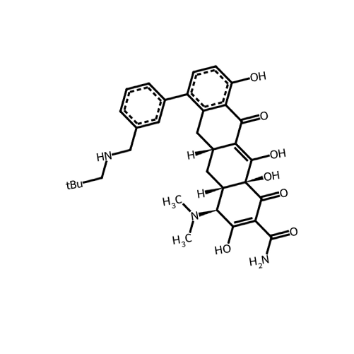 CN(C)[C@@H]1C(O)=C(C(N)=O)C(=O)[C@@]2(O)C(O)=C3C(=O)c4c(O)ccc(-c5cccc(CNCC(C)(C)C)c5)c4C[C@H]3C[C@@H]12